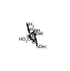 CCCCCCCCCCCCCCN(CCCCCCCCCCCCCC)C(=O)CC[C@H](NC(=O)[C@H](CCCNCCCN)NCCCN)C(=O)O